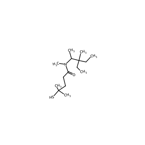 CCC(C)(CC)C(C)N(C)C(=O)CCC(C)(C)S